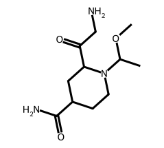 COC(C)N1CCC(C(N)=O)CC1C(=O)CN